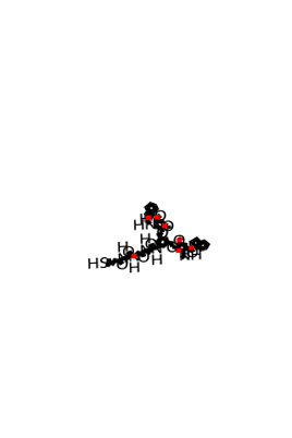 CNc1cc(OCc2cc(COc3cc4c(cc3OC)C(=O)N3c5ccccc5C[C@H]3CN4)cc(NC(=O)CNC(=O)CNC(=O)CNC(=O)CCC(C)(C)S)c2)c(OC)cc1C(=O)N1CCc2ccccc21